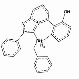 Cc1cccc(O)c1-c1cccc2nc(-c3ccccc3)c(NCc3ccccc3)n12